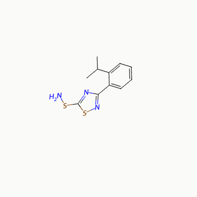 CC(C)c1ccccc1-c1nsc(SN)n1